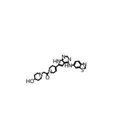 O=C(CN1CCC(O)CC1)N1CC=C(c2cc3c(Nc4ccc5ncsc5c4)ncnc3[nH]2)CC1